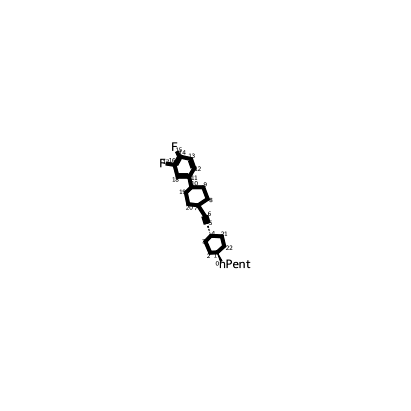 CCCCC[C@H]1CC[C@H](C#CC2CCC(c3ccc(F)c(F)c3)CC2)CC1